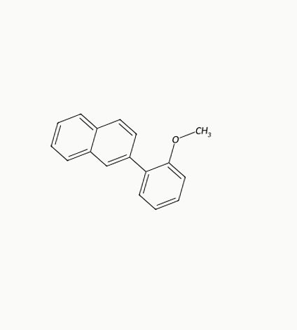 COc1ccccc1-c1ccc2ccccc2c1